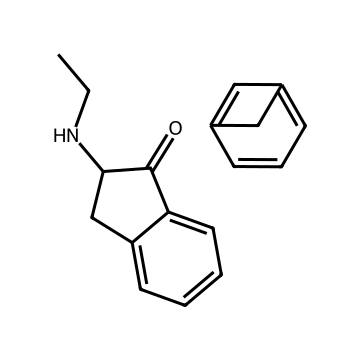 CCNC1Cc2ccccc2C1=O.c1cc2cc(c1)C2